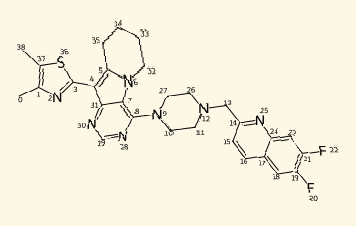 Cc1nc(-c2c3n(c4c(N5CCN(Cc6ccc7cc(F)c(F)cc7n6)CC5)ncnc24)CCCC3)sc1C